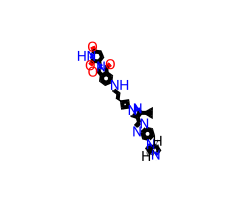 CN1C[C@H]2C[C@@H]1CN2c1ccc2nc(-c3cn([C@H]4C[C@H](CCCNc5ccc6c(c5)C(=O)N(C5CCC(=O)NC5=O)C6=O)C4)nc3C3CC3)cnc2c1